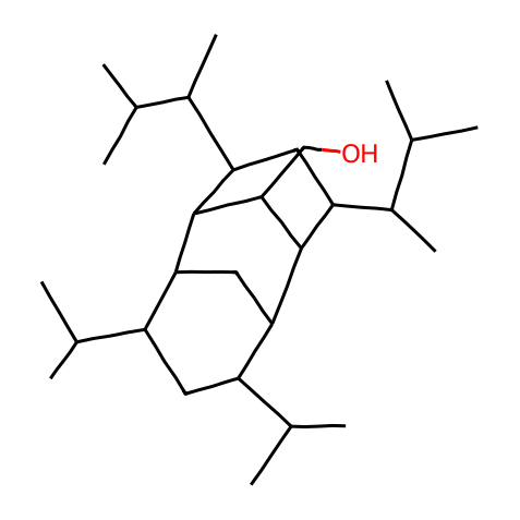 CC(C)C(C)C1CC(C(C)C(C)C)C2C3CC(C(C(C)C)CC3C(C)C)C1C2CO